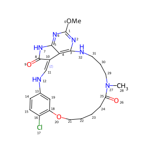 COc1nc2c3c(n1)NC(=O)/C3=C\Nc1ccc(Cl)c(c1)OCCCCC(=O)N(C)CCCN2